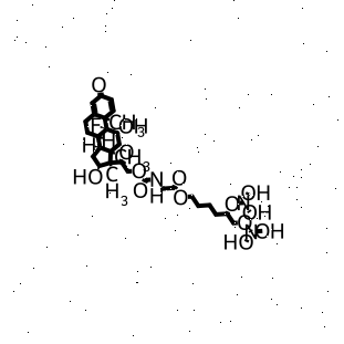 C[C@]12C=CC(=O)C=C1CC[C@H]1[C@@H]3C[C@@H](O)[C@@](C)(C(=O)COC(=O)NCC(=O)OCCCCC(CON(O)O)ON(O)O)[C@@]3(C)C[C@H](O)[C@@]12F